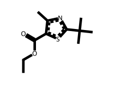 CCOC(=O)c1sc(C(C)(C)C)nc1C